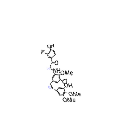 COc1cc(/C=C\c2cc(Cl)c(OC)c(N/C=C\C(=O)c3ccc(O)c(F)c3)c2)cc(O)c1OC